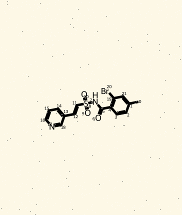 Cc1ccc(C(=O)NS(=O)(=O)C=Cc2cccnc2)c(Br)c1